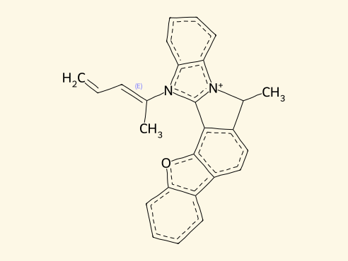 C=C/C=C(\C)n1c2[n+](c3ccccc31)C(C)c1ccc3c(oc4ccccc43)c1-2